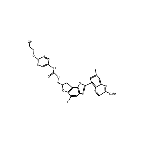 COc1cnc2c(-c3nc4cc(F)c5c(c4s3)C[C@H](COC(=O)Nc3cnc(OCCO)nc3)O5)cc(C)cc2n1